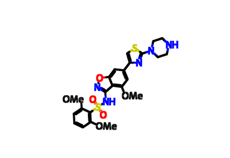 COc1cccc(OC)c1S(=O)(=O)Nc1noc2cc(-c3csc(N4CCNCC4)n3)cc(OC)c12